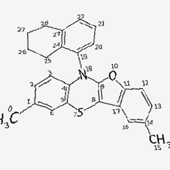 Cc1ccc2c(c1)Sc1c(oc3ccc(C)cc13)N2c1cccc2c1CCCC2